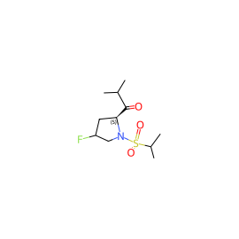 CC(C)C(=O)[C@@H]1CC(F)CN1S(=O)(=O)C(C)C